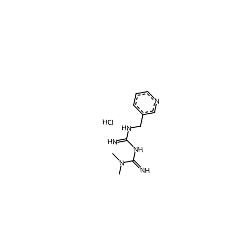 CN(C)C(=N)NC(=N)NCc1cccnc1.Cl